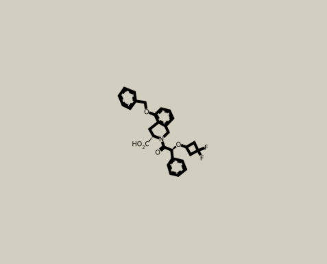 O=C(O)[C@@H]1Cc2c(cccc2OCc2ccccc2)CN1C(=O)[C@@H](OC1CC(F)(F)C1)c1ccccc1